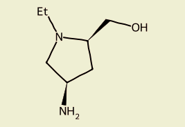 CCN1C[C@H](N)C[C@@H]1CO